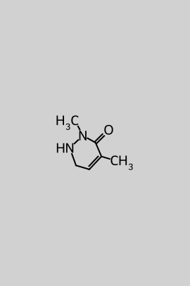 CC1=CCNN(C)C1=O